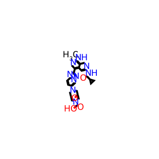 CNc1ncc(-c2nc3ccc(N4CC5CN(C(=O)O)CC(C4)O5)cn3n2)c2cc(NC(=O)C3CC3)ncc12